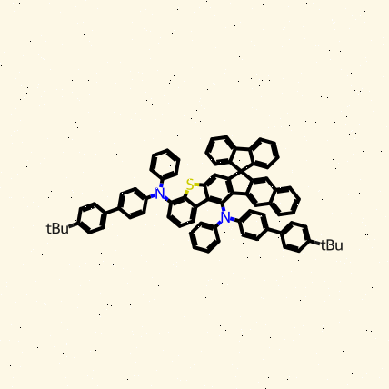 CC(C)(C)c1ccc(-c2ccc(N(c3ccccc3)c3cccc4c3sc3cc5c(c(N(c6ccccc6)c6ccc(-c7ccc(C(C)(C)C)cc7)cc6)c34)-c3cc4ccccc4cc3C53c4ccccc4-c4ccccc43)cc2)cc1